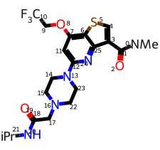 CNC(=O)c1csc2c(OCC(F)(F)F)cc(N3CCN(CC(=O)NC(C)C)CC3)nc12